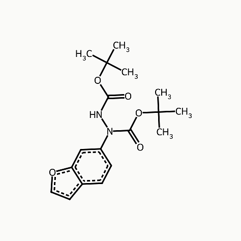 CC(C)(C)OC(=O)NN(C(=O)OC(C)(C)C)c1ccc2ccoc2c1